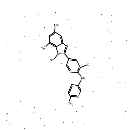 CCCn1c(-c2cnc(Nc3ccc(C)nc3)c(Cl)c2)nc2cc(C)cc(C)c21